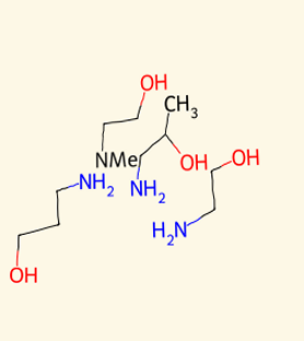 CC(O)CN.CNCCO.NCCCO.NCCO